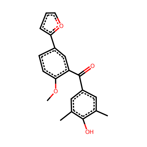 COc1ccc(-c2ccco2)cc1C(=O)c1cc(C)c(O)c(C)c1